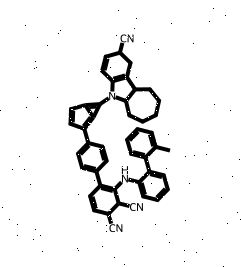 Cc1ccccc1-c1ccccc1NC1=C(c2ccc(-c3ccc4c(N5C6=C(CC(C#N)C=C6)C6CCCCCC65)c3-4)cc2)C=CC(C#N)C1C#N